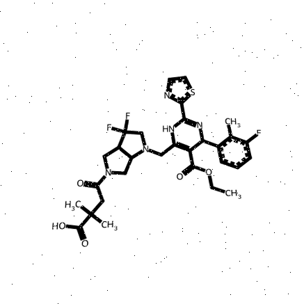 CCOC(=O)C1=C(CN2CC(F)(F)C3CN(C(=O)CC(C)(C)C(=O)O)CC32)NC(c2nccs2)=NC1c1cccc(F)c1C